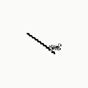 CCCCCCCCCCCCCCCCCN(CCC)C(=O)N[SiH2]C(OC)OC